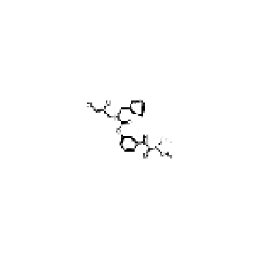 CN(C)C(=O)Nc1cccc(OC(=O)N(CC(Cl)=CCl)Cc2ccccc2)c1